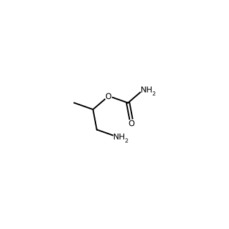 CC(CN)OC(N)=O